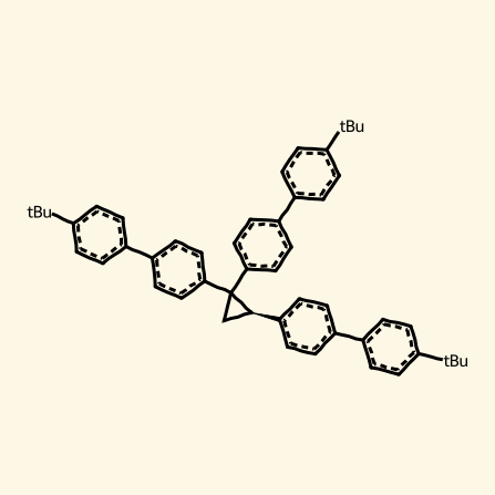 CC(C)(C)c1ccc(-c2ccc([C@H]3CC3(c3ccc(-c4ccc(C(C)(C)C)cc4)cc3)c3ccc(-c4ccc(C(C)(C)C)cc4)cc3)cc2)cc1